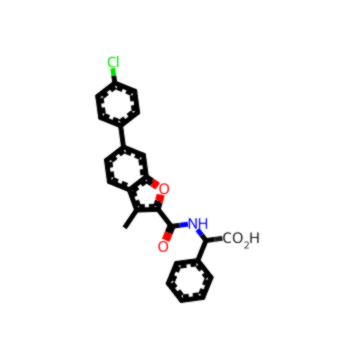 Cc1c(C(=O)NC(C(=O)O)c2ccccc2)oc2cc(-c3ccc(Cl)cc3)ccc12